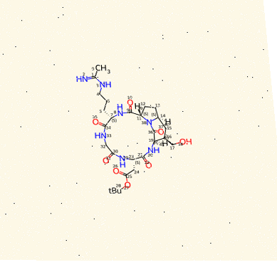 CC(=N)NCCC[C@@H]1NC(=O)[C@@H]2CC[C@H]3C[C@@H](CO)[C@@H](NC(=O)[C@H](CC(=O)OC(C)(C)C)NC(=O)CNC1=O)C(=O)N32